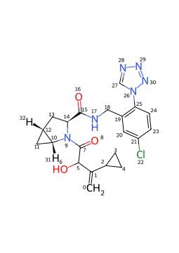 C=C(C1CC1)C(O)C(=O)N1[C@@H]2C[C@@H]2C[C@H]1C(=O)NCc1cc(Cl)ccc1-n1cnnn1